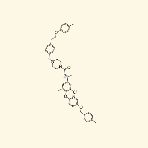 C/C(=C\C(=O)N1CCN(Cc2ccc(CCOc3ccc(C)cc3)cc2)CC1)c1cc(C)c(Oc2ccc(OCc3ccc(C)cc3)cn2)c(Cl)c1